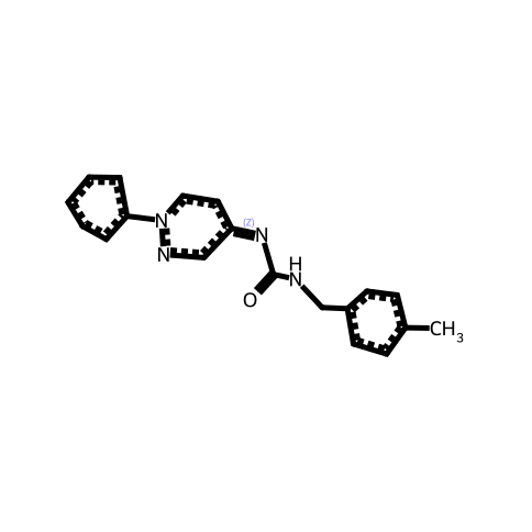 Cc1ccc(CNC(=O)/N=c2/ccn(-c3ccccc3)nc2)cc1